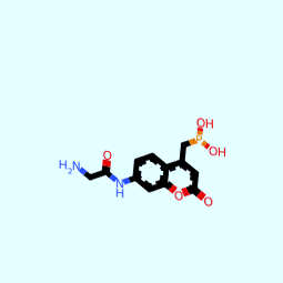 NCC(=O)Nc1ccc2c(CP(O)O)cc(=O)oc2c1